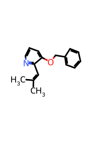 CC(C)=Cc1ncccc1OCc1ccccc1